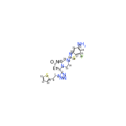 CCC(c1nnnn1CCc1cccs1)N1CCN(c2nc3cc(N)cc(F)c3s2)CC1[N+](=O)[O-]